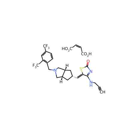 C#CCNC1=NC(=O)S/C1=C\[C@@H]1C[C@@H]2CN(Cc3ccc(C(F)(F)F)cc3C(F)(F)F)C[C@@H]2C1.O=C(O)/C=C\C(=O)O